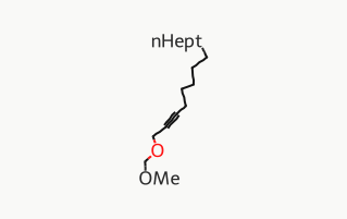 CCCCCCCCCCCCC#CCOCOC